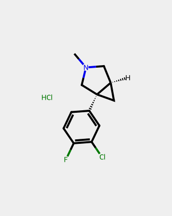 CN1C[C@H]2C[C@@]2(c2ccc(F)c(Cl)c2)C1.Cl